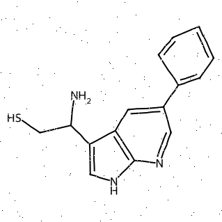 NC(CS)c1c[nH]c2ncc(-c3ccccc3)cc12